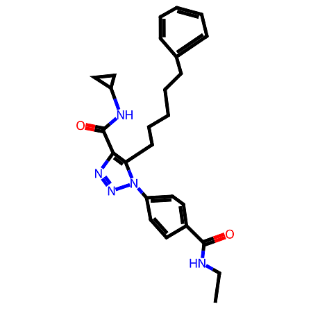 CCNC(=O)c1ccc(-n2nnc(C(=O)NC3CC3)c2CCCCCc2ccccc2)cc1